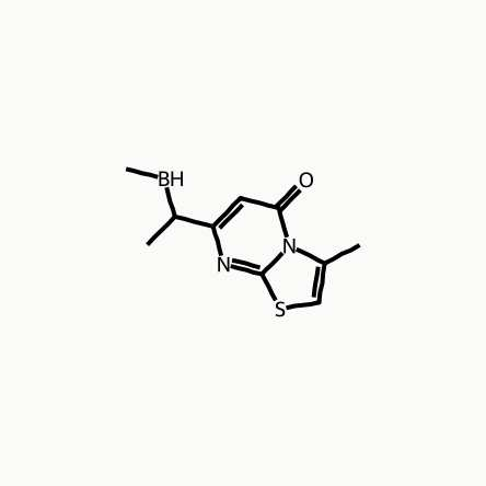 CBC(C)c1cc(=O)n2c(C)csc2n1